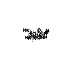 [N-]=[N+]=NCOC(=O)c1cccc(N(N)c2ccc3c(n2)N(C2CCOCC2)[C@H](CN=[N+]=[N-])C(=O)N3)c1OCN=[N+]=[N-]